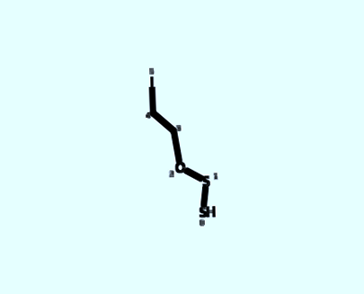 SSOCCI